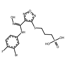 O=P(O)(O)CCCSc1nonc1/C(=N\O)Nc1ccc(F)c(Br)c1